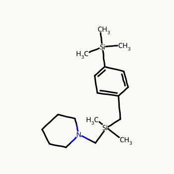 C[Si](C)(Cc1ccc([Si](C)(C)C)cc1)CN1CCCCC1